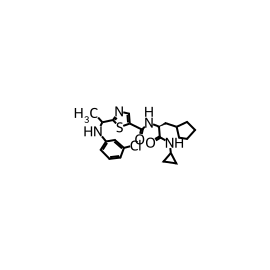 CC(Nc1cccc(Cl)c1)c1ncc(C(=O)N[C@@H](CC2CCCC2)C(=O)NC2CC2)s1